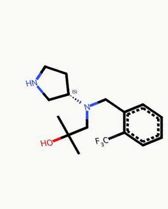 CC(C)(O)CN(Cc1ccccc1C(F)(F)F)[C@H]1CCNC1